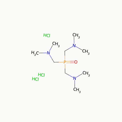 CN(C)CP(=O)(CN(C)C)CN(C)C.Cl.Cl.Cl